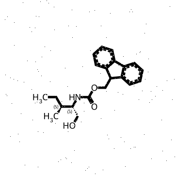 CC[C@H](C)[C@@H](CO)NC(=O)OCC1c2ccccc2-c2ccccc21